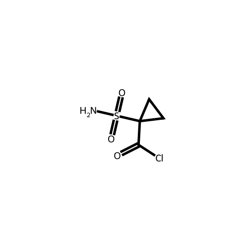 NS(=O)(=O)C1(C(=O)Cl)CC1